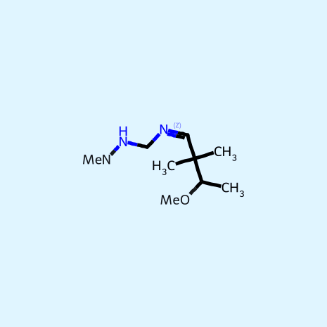 CNNC/N=C\C(C)(C)C(C)OC